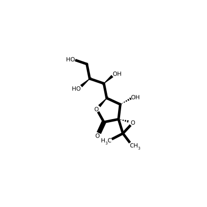 CC1(C)O[C@@]12C(=O)O[C@@H]([C@H](O)[C@@H](O)CO)[C@@H]2O